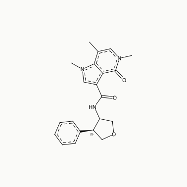 Cc1cn(C)c(=O)c2c(C(=O)NC3COC[C@H]3c3ccccc3)cn(C)c12